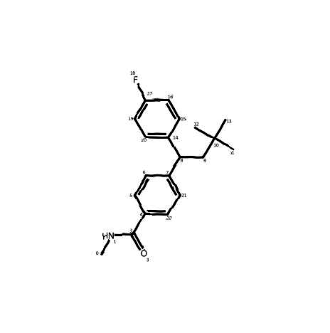 CNC(=O)c1ccc(C(CC(C)(C)C)c2ccc(F)cc2)cc1